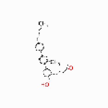 CCCCCc1ccc(-c2ccc(-c3ccc(CO)c(CCCC4CO4)c3)c(C)c2)cc1